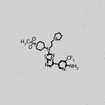 CS(=O)(=O)N1CCC(N(CCN2CCCC2)c2nn3c(-c4cnc(N)c(C(F)(F)F)c4)cnc3s2)CC1